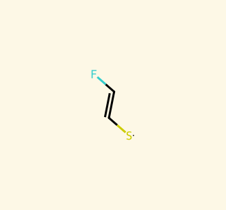 F/C=C/[S]